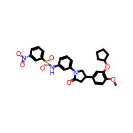 COc1ccc(C2CC(=O)N(c3cccc(NS(=O)(=O)c4cccc([N+](=O)[O-])c4)c3)C2)cc1OC1CCCC1